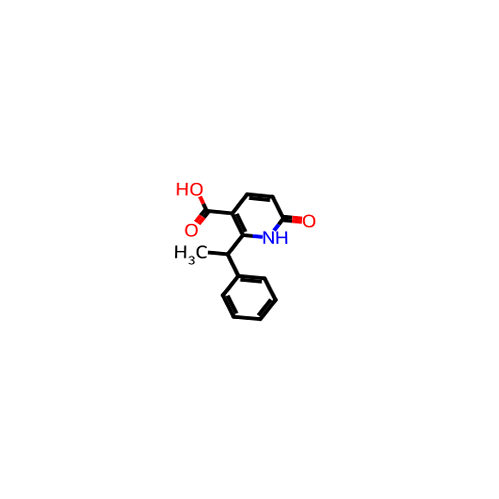 CC(c1ccccc1)c1[nH]c(=O)ccc1C(=O)O